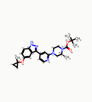 C[C@H]1CN(c2cc(-c3n[nH]c4ccc(OC5(C)CC5)cc34)ccn2)CCN1C(=O)OC(C)(C)C